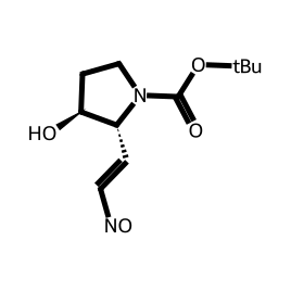 CC(C)(C)OC(=O)N1CC[C@H](O)[C@H]1/C=C/N=O